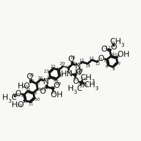 COC(=O)c1c(O)cccc1OCCCCNC(=O)[C@H](Cc1ccc(N(CC(Cc2ccc(O)c(OC)c2)C(=O)O)C(=O)C(=O)O)cc1)NC(=O)OC(C)(C)C